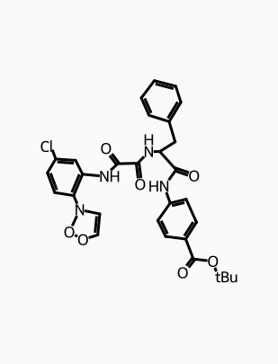 CC(C)(C)OC(=O)c1ccc(NC(=O)C(Cc2ccccc2)NC(=O)C(=O)Nc2cc(Cl)ccc2N2C=COO2)cc1